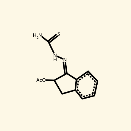 CC(=O)OC1Cc2ccccc2/C1=N/NC(N)=S